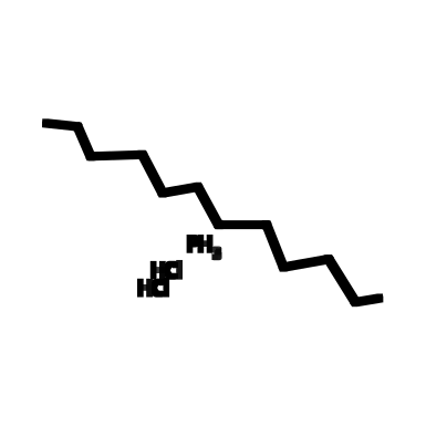 CCCCCCCCCCCC.Cl.Cl.P